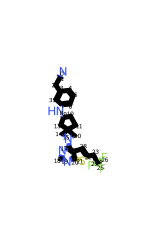 N#CCc1cccc(NC2CCC3(C2)CN(c2ncnc4sc(CC(F)(F)F)cc24)C3)c1